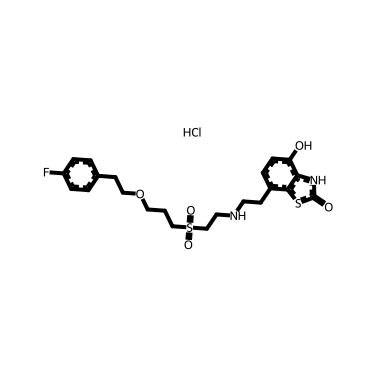 Cl.O=c1[nH]c2c(O)ccc(CCNCCS(=O)(=O)CCCOCCc3ccc(F)cc3)c2s1